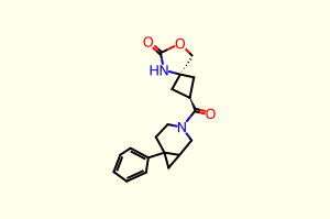 O=C1N[C@]2(CO1)C[C@H](C(=O)N1CCC3(c4ccccc4)CC3C1)C2